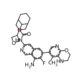 Cc1c(-c2cc3cc(NC(=O)OC4C5CCCC4CN(C4COC4)C5)ncc3c(N)c2F)cnc2c1NCCO2